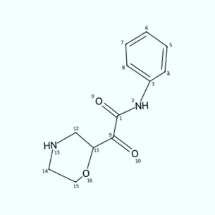 O=C(Nc1[c]cccc1)C(=O)C1CNCCO1